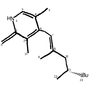 C=C1NC=C(C)C(/C=C(\C)C[C@@H](C)C(C)CC)=C1C